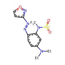 CCN(CC)c1ccc(N=Nc2ccon2)c(N([SH](=O)=O)C(F)(F)F)c1